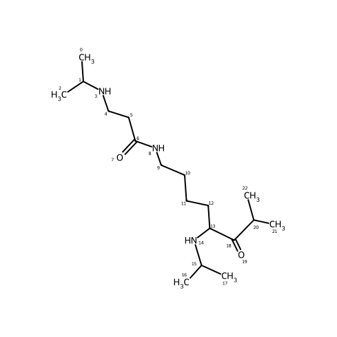 CC(C)NCCC(=O)NCCCCC(NC(C)C)C(=O)C(C)C